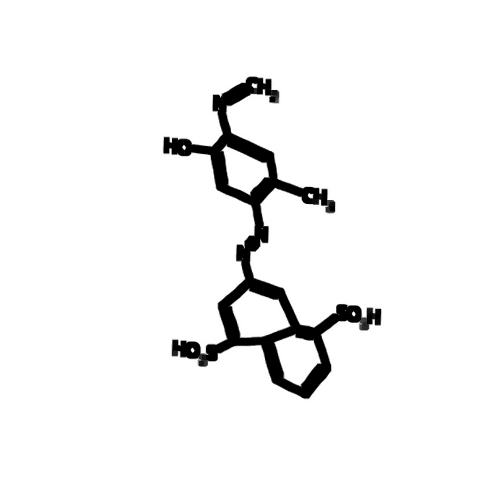 C=Nc1cc(C)c(N=Nc2cc(S(=O)(=O)O)c3cccc(S(=O)(=O)O)c3c2)cc1O